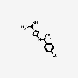 CCc1ccc(C(NC2CN(C(=N)N)C2)C(F)(F)F)cc1